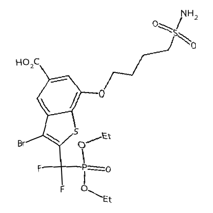 CCOP(=O)(OCC)C(F)(F)c1sc2c(OCCCCS(N)(=O)=O)cc(C(=O)O)cc2c1Br